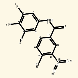 C=C(Nc1cc(F)c(F)c(F)c1)c1ccc(Cl)c([SH](=O)=O)c1